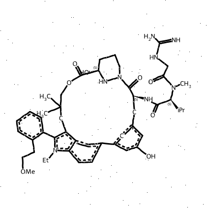 CCn1c(-c2ccccc2CCOC)c2c3cc(ccc31)-c1cc(O)cc(c1)C[C@H](NC(=O)[C@H](C(C)C)N(C)C(=O)CNC(=N)N)C(=O)N1CCC[C@@](O)(N1)C(=O)OCC(C)(C)C2